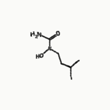 CC(C)CCN(O)C(N)=O